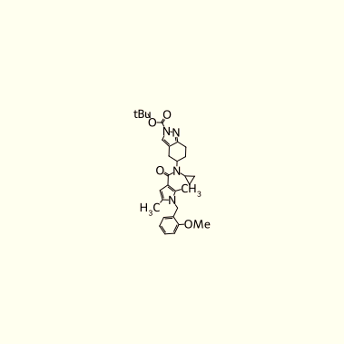 COc1ccccc1Cn1c(C)cc(C(=O)N(C2CC2)C2CCc3nn(C(=O)OC(C)(C)C)cc3C2)c1C